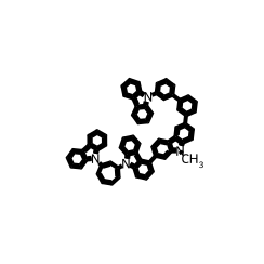 Cn1c2ccc(-c3cccc(-c4cccc(-n5c6ccccc6c6ccccc65)c4)c3)cc2c2ccc(-c3cccc4c3c3ccccc3n4C3=CC=C=CC(n4c5ccccc5c5ccccc54)=C3)cc21